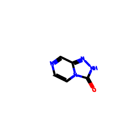 O=c1[nH]nc2cn[c]cn12